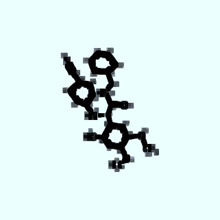 COc1cc(O)c([C@H](Nc2ccc(C#N)cc2)C(=O)NCc2ccccc2)cc1OC